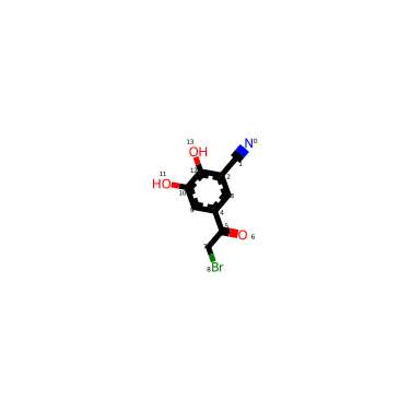 N#Cc1cc(C(=O)CBr)cc(O)c1O